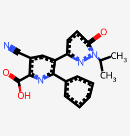 CC(C)n1nc(-c2cc(C#N)c(C(=O)O)nc2-c2ccccc2)ccc1=O